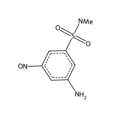 CNS(=O)(=O)c1cc(N)cc(N=O)c1